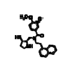 COc1ccc(C(=O)N(CCc2cccc3ccccc23)C[C@H]2NCC[C@H]2S)c[n+]1[O-]